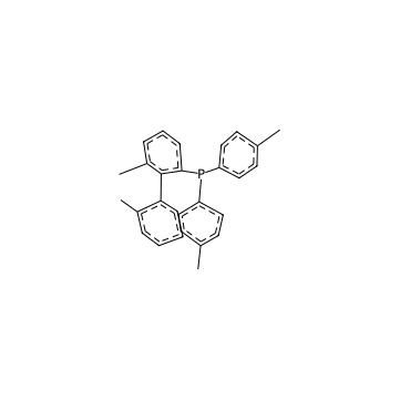 Cc1ccc(P(c2ccc(C)cc2)c2cccc(C)c2-c2ccccc2C)cc1